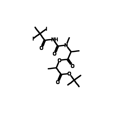 CC(OC(=O)C(C)N(C)C(=O)NC(=O)C(C)(I)I)C(=O)OC(C)(C)C